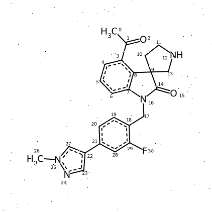 CC(=O)c1cccc2c1C1(CCNC1)C(=O)N2Cc1ccc(-c2cnn(C)c2)cc1F